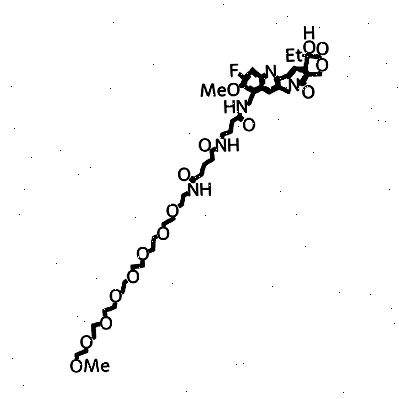 CC[C@@]1(O)C(=O)OCc2c1cc1n(c2=O)Cc2cc3c(CNC(=O)CCCNC(=O)CCCC(=O)NCCOCCOCCOCCOCCOCCOCCOCCOC)c(OC)c(F)cc3nc2-1